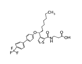 CCCCCCC[C@H](Oc1ccc(-c2ccc(C(F)(F)F)cc2)cc1)c1ccsc1C(=O)NCCC(=O)O